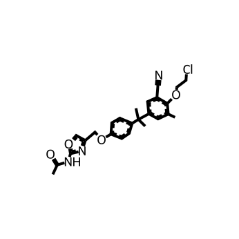 CC(=O)Nc1nc(COc2ccc(C(C)(C)c3cc(C)c(OCCCl)c(C#N)c3)cc2)co1